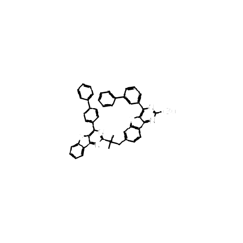 CC(C)(C)c1nc(-c2cccc(-c3ccccc3)c2)c2sc3cc(CC(C)(C)c4nc(-c5ccc(-c6ccccc6)cc5)c5sc6ccccc6c5n4)ccc3c2n1